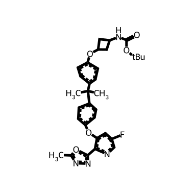 Cc1nnc(-c2ncc(F)cc2Oc2ccc(C(C)(C)c3ccc(OC4CC(NC(=O)OC(C)(C)C)C4)cc3)cc2)o1